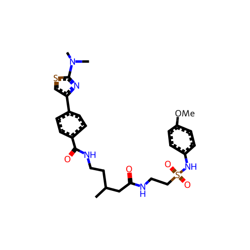 COc1ccc(NS(=O)(=O)CCNC(=O)CC(C)CCNC(=O)c2ccc(-c3csc(N(C)C)n3)cc2)cc1